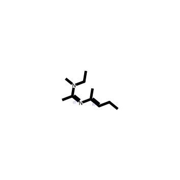 CC/C=C(C)/N=C(/C)N(C)CC